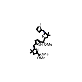 COC(OC)C1=N/C(=C\c2ccc(C(OC)C3=N/C(=C\c4ccc[nH]4)C(C)(C)C3)[nH]2)C(C)(C)C1